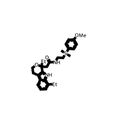 CCc1cccc2c3c([nH]c12)C(CC)(CC(=O)NCC[Si](C)(C)c1ccc(OC)cc1)OCC3